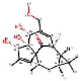 COCC1=C[C@@H]2C(=O)[C@]3(C=C(C)[C@H](O)[C@@]3(O)[C@@H]1O)[C@H](C)C[C@@H]1[C@H]2C1(C)C